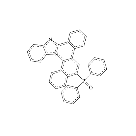 O=P(c1ccccc1)(c1ccccc1)c1cc2c3ccccc3c3nc4ccccc4n3c2c2ccccc12